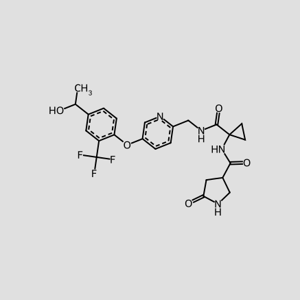 CC(O)c1ccc(Oc2ccc(CNC(=O)C3(NC(=O)C4CNC(=O)C4)CC3)nc2)c(C(F)(F)F)c1